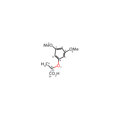 COc1cc(OC)cc(O[C@@H](C)C(=O)O)c1